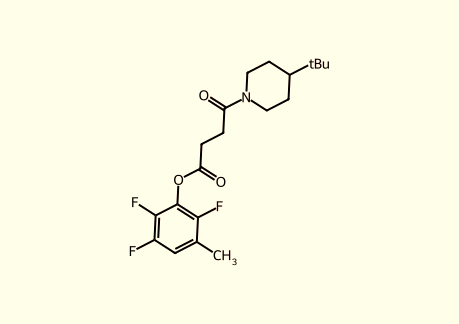 Cc1cc(F)c(F)c(OC(=O)CCC(=O)N2CCC(C(C)(C)C)CC2)c1F